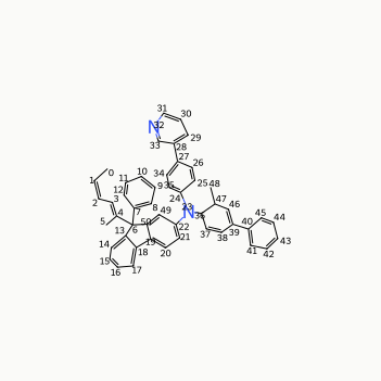 C/C=C\C=C(/C)C1(c2ccccc2)c2ccccc2-c2ccc(N(c3ccc(-c4cccnc4)cc3)C3C=CC(c4ccccc4)=CC3C)cc21